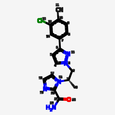 C[C@@H](Cn1ccc(-c2ccc(C#N)c(Cl)c2)n1)n1ccnc1C(N)=O